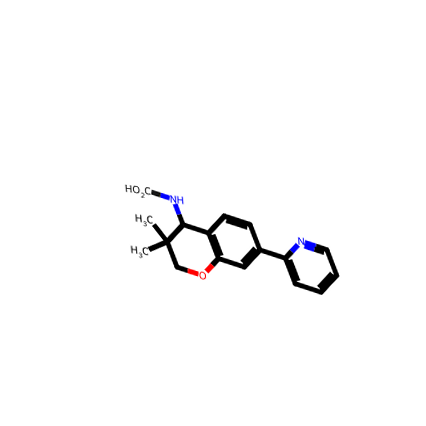 CC1(C)COc2cc(-c3ccccn3)ccc2C1NC(=O)O